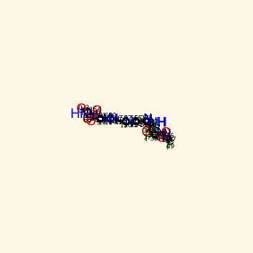 O=C1CCC(N2C(=O)c3ccc(N4CCN(CCC5CCN(c6ccc(-c7cnc8[nH]cc(C(=O)c9c(F)ccc(NS(=O)(=O)N%10CC[C@@H](F)C%10)c9F)c8c7)cc6)CC5)CC4)cc3C2=O)C(=O)N1